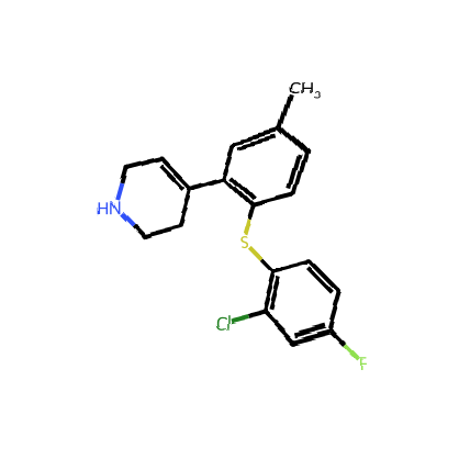 Cc1ccc(Sc2ccc(F)cc2Cl)c(C2=CCNCC2)c1